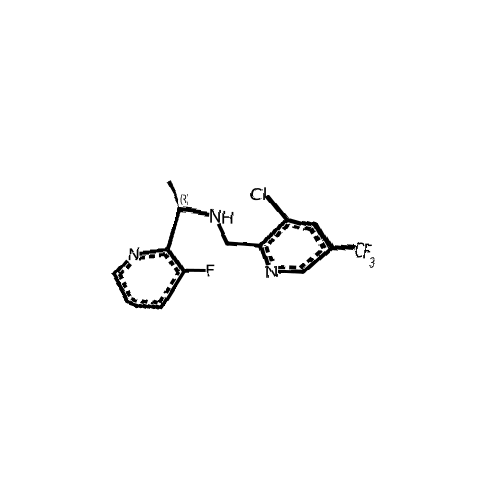 C[C@@H](NCc1ncc(C(F)(F)F)cc1Cl)c1ncccc1F